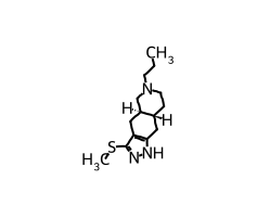 CCCN1CC[C@@H]2Cc3[nH]nc(SC)c3C[C@H]2C1